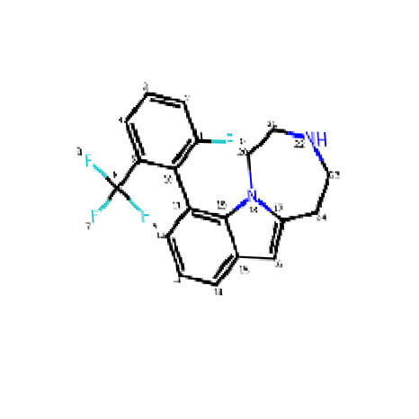 Fc1cccc(C(F)(F)F)c1-c1cccc2cc3n(c12)CCNCC3